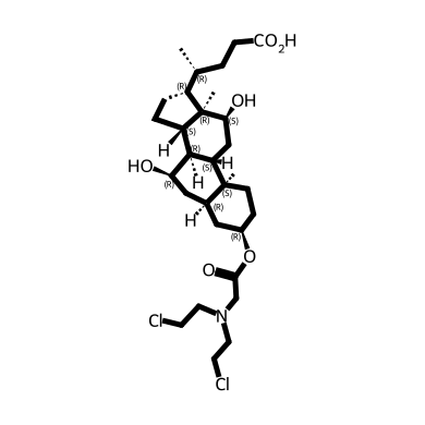 C[C@H](CCC(=O)O)[C@H]1CC[C@H]2[C@@H]3[C@H](O)C[C@@H]4C[C@H](OC(=O)CN(CCCl)CCCl)CC[C@]4(C)[C@H]3C[C@H](O)[C@]12C